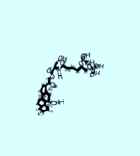 C[C@]12C[C@H](O)C3(F)[C@@H](CCC4=CC(=O)C=C[C@@]43C)C1CCC2C(=O)COC(=O)C(CO)NC(=O)CCCC(CON(O)O)ON(O)O